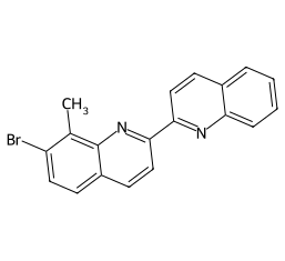 Cc1c(Br)ccc2ccc(-c3ccc4ccccc4n3)nc12